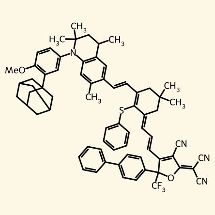 COc1ccc(N2c3cc(C)c(C=CC4=C(Sc5ccccc5)C(=CC=CC5=C(C#N)C(=C(C#N)C#N)OC5(c5ccc(-c6ccccc6)cc5)C(F)(F)F)CC(C)(C)C4)cc3C(C)CC2(C)C)cc1C12CC3CC(CC(C3)C1)C2